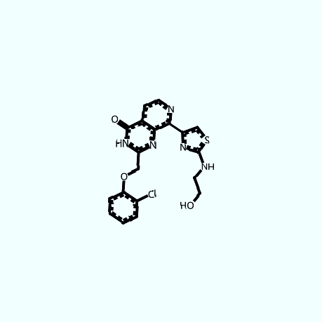 O=c1[nH]c(COc2ccccc2Cl)nc2c(-c3csc(NCCO)n3)nccc12